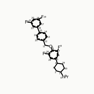 CCCC1CCC(c2cc(F)c(OCc3ccc(-c4cc(F)cc(F)c4)cc3)c(F)c2)CC1